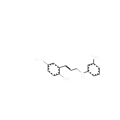 Nc1cccc(NC/C=C/c2cc(N)ccc2N)c1